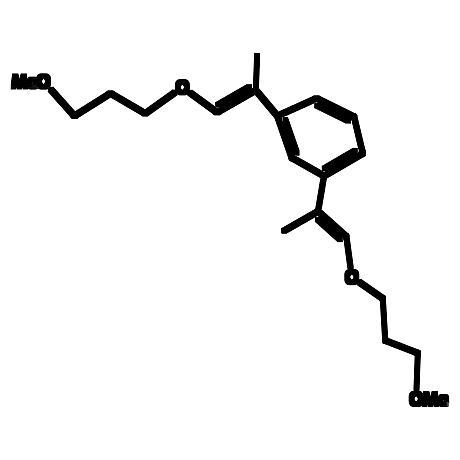 COCCCOC=C(C)c1cccc(C(C)=COCCCOC)c1